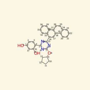 Oc1ccc(-c2nc(OC3CCCC3)nc(-c3cc4c5ccccc5ccc4c4ccccc34)n2)c(O)c1